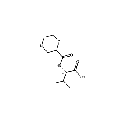 CC(C)[C@H](NC(=O)C1CNCCO1)C(=O)O